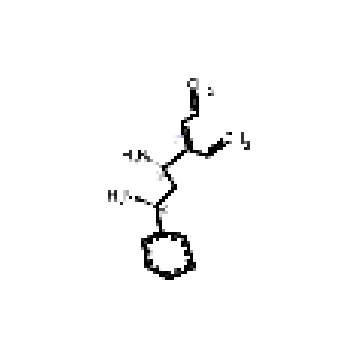 C=C/C=C(\C=C)[C@@H](N)C[C@H](N)c1ccccc1